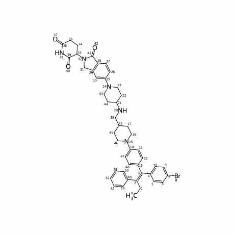 CC/C(=C(\c1ccc(Br)cc1)c1ccc(N2CCC(CNC3CCN(c4ccc5c(c4)CN(C4CCC(=O)NC4=O)C5=O)CC3)CC2)cc1)c1ccccc1